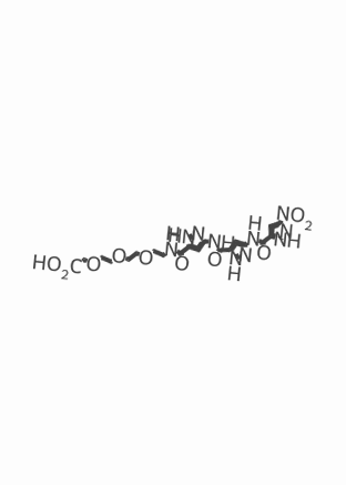 O=C(O)COCCOCCOCCNC(=O)c1cc(NC(=O)c2cc(NC(=O)c3cc([N+](=O)[O-])n[nH]3)n[nH]2)n[nH]1